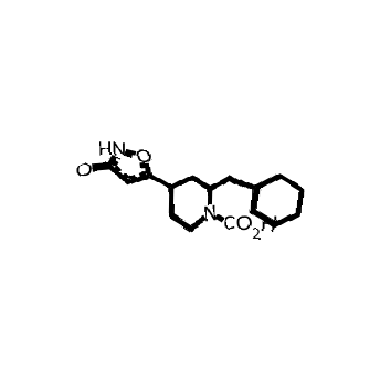 O=C(O)N1CCC(c2cc(=O)[nH]o2)CC1CC1CCCCC1